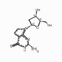 Nc1nc2c(ccn2[C@H]2C[C@@H](O)[C@@H](CO)O2)c(=S)[nH]1